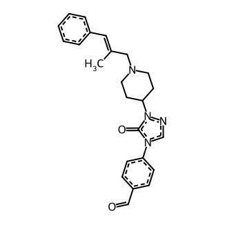 C/C(=C\c1ccccc1)CN1CCC(n2ncn(-c3ccc(C=O)cc3)c2=O)CC1